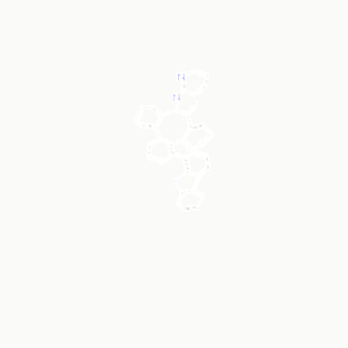 c1ccc2c(c1)-c1cccc(-c3cccc4c3sc3ccccc34)c1-c1ccccc1-c1cc3cccnc3nc1-2